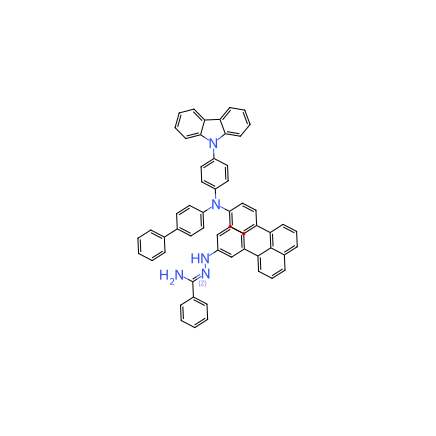 N/C(=N\Nc1cccc(-c2cccc3cccc(-c4ccc(N(c5ccc(-c6ccccc6)cc5)c5ccc(-n6c7ccccc7c7ccccc76)cc5)cc4)c23)c1)c1ccccc1